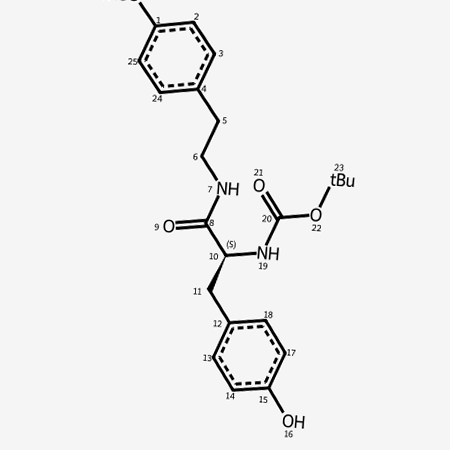 COc1ccc(CCNC(=O)[C@H](Cc2ccc(O)cc2)NC(=O)OC(C)(C)C)cc1